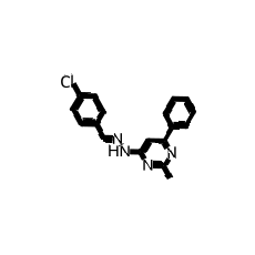 Cc1nc(N/N=C/c2ccc(Cl)cc2)cc(-c2ccccc2)n1